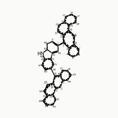 C1=C(c2c3ccccc3cc3c2ccc2ccccc23)C=C2c3cc(-c4c5ccccc5cc5c4ccc4ccccc45)ccc3NC2C1